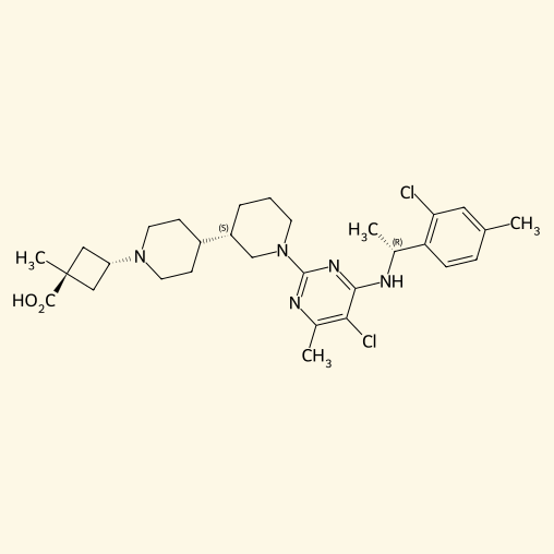 Cc1ccc([C@@H](C)Nc2nc(N3CCC[C@@H](C4CCN([C@H]5C[C@](C)(C(=O)O)C5)CC4)C3)nc(C)c2Cl)c(Cl)c1